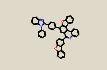 c1ccc(-n2c(-c3ccc(-c4cc5c(-c6ccc7oc8ccccc8c7c6)nc6ccccc6c5c5c4oc4ccccc45)cc3)nc3ccccc32)cc1